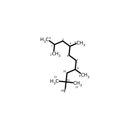 CC(C)CC(C)CCC(C)CC(C)(C)F